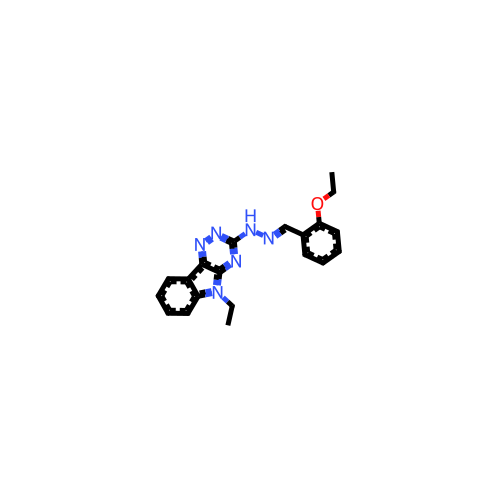 CCOc1ccccc1C=NNc1nnc2c3ccccc3n(CC)c2n1